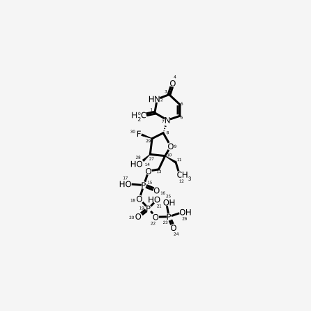 C=C1NC(=O)C=CN1[C@@H]1O[C@](CC)(COP(=O)(O)OP(=O)(O)OP(=O)(O)O)[C@@H](O)[C@H]1F